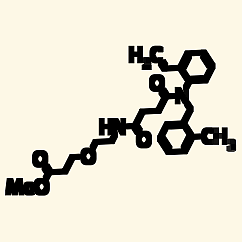 C=Cc1ccccc1N(Cc1ccccc1C)C(=O)CCC(=O)NCCOCCC(=O)OC